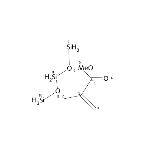 C=C(C)C(=O)OC.[SiH3]O[SiH2]O[SiH3]